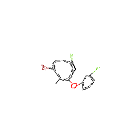 Cc1c(Br)cc(F)cc1Oc1cccc(F)c1